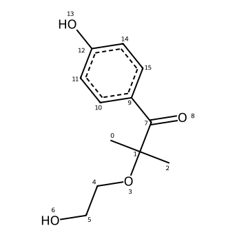 CC(C)(OCCO)C(=O)c1ccc(O)cc1